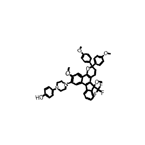 COc1ccc(C2(c3ccc(OC)cc3)C=Cc3c4c(c5cc(N6CCN(c7ccc(O)cc7)CC6)c(OC)cc5c3O2)-c2ccccc2C4(OC)C(F)(F)F)cc1